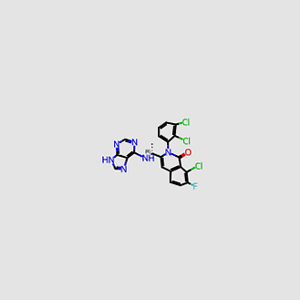 C[C@@H](Nc1ncnc2[nH]cnc12)c1cc2ccc(F)c(Cl)c2c(=O)n1-c1cccc(Cl)c1Cl